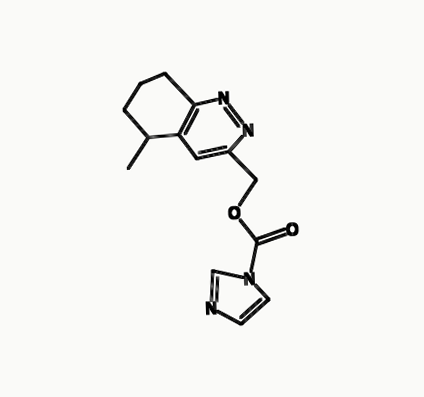 CC1CCCc2nnc(COC(=O)n3ccnc3)cc21